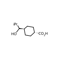 CC(C)C(O)[C@H]1CC[C@H](C(=O)O)CC1